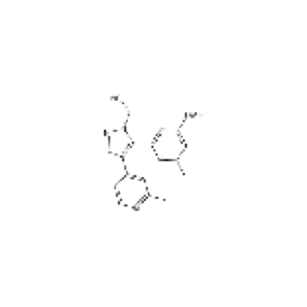 COc1cc(C)cc(-c2c(-c3ccnc(C)c3)cnn2CC#N)c1